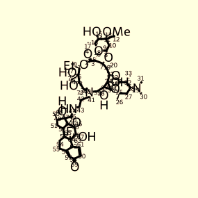 CC[C@H]1OC(=O)[C@H](C)[C@@H](O[C@@H]2C[C@](C)(OC)[C@H](O)[C@@H](C)O2)[C@H](C)[C@@H](O[C@@H]2O[C@H](C)C[C@@H](N(C)C)[C@H]2C)[C@]2(O)C[C@@]2(O)CN(CCCNC(=O)[C@@]2(O)[C@H](C)CC3C4CCC5=CC(=O)C=C[C@]5(C)[C@@]4(F)[C@@H](O)C[C@@]32C)[C@H](C)[C@@H](O)[C@]1(C)O